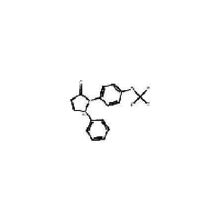 O=C1CC[C@H](c2ccccc2)N1c1ccc(OC(F)(F)F)cc1